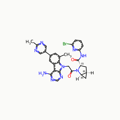 Cc1ncc(-c2cc(C)c3c(c2)c2c(N)ncnc2n3CC(=O)N2[C@@H]3C[C@@H]3C[C@H]2C(=O)Nc2cccc(Br)n2)cn1